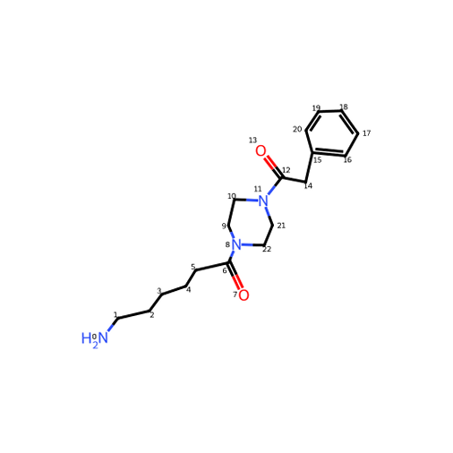 NCCCCCC(=O)N1CCN(C(=O)Cc2ccccc2)CC1